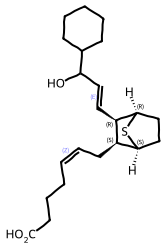 O=C(O)CCC/C=C\C[C@H]1[C@@H](/C=C/C(O)C2CCCCC2)[C@H]2CC[C@@H]1S2